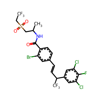 CC(CS(=O)(=O)CC(F)(F)F)NC(=O)c1ccc(/C=C/C(c2cc(Cl)c(F)c(Cl)c2)C(F)(F)F)cc1Br